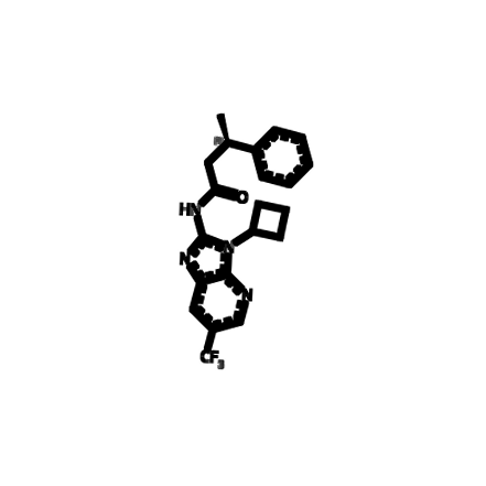 C[C@H](CC(=O)Nc1nc2cc(C(F)(F)F)cnc2n1C1CCC1)c1ccccc1